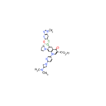 CN(C)C1CN(c2ccc(-n3cc(C(=O)O)c(=O)c4cc(Cl)c(N5CCC[C@@H]5COc5nc6ncn(C)c6cc5Cl)cc43)cn2)C1